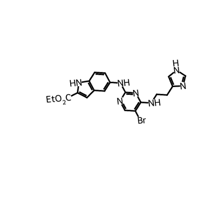 CCOC(=O)c1cc2cc(Nc3ncc(Br)c(NCCc4c[nH]cn4)n3)ccc2[nH]1